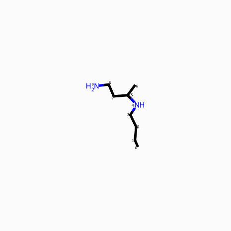 CCCCNC(C)CCN